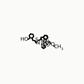 CCOCCN(c1cccc2cc(-c3ncc(CC4CCCCC4CO)s3)[nH]c12)S(=O)(=O)c1cccs1